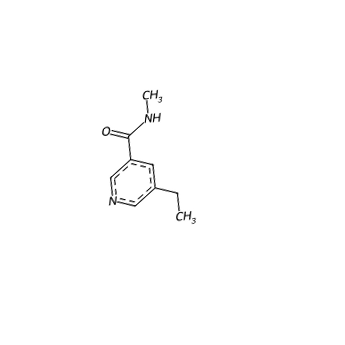 CCc1cncc(C(=O)NC)c1